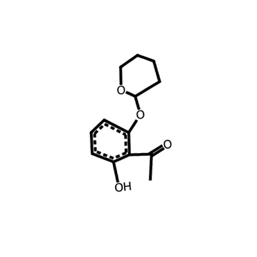 CC(=O)c1c(O)cccc1OC1CCCCO1